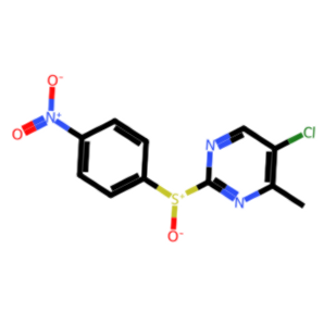 Cc1nc([S+]([O-])c2ccc([N+](=O)[O-])cc2)ncc1Cl